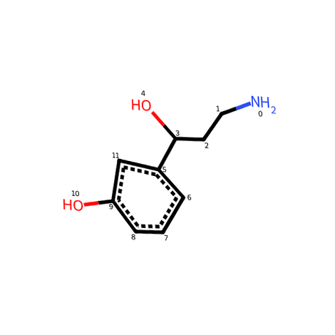 NCCC(O)c1cccc(O)c1